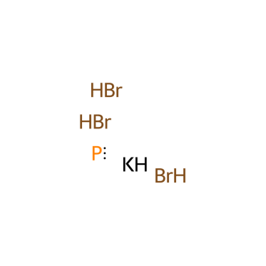 Br.Br.Br.[KH].[P]